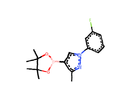 Cc1nn(-c2cccc(F)c2)cc1B1OC(C)(C)C(C)(C)O1